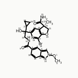 COn1cc2cc(C(=O)NCC(O)(c3cc4c(c(Br)n3)OC[C@]4(C)C(N)=O)C3CC3)ccc2n1